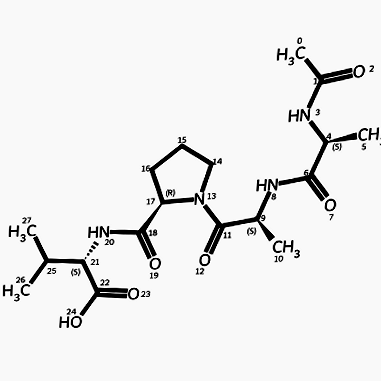 CC(=O)N[C@@H](C)C(=O)N[C@@H](C)C(=O)N1CCC[C@@H]1C(=O)N[C@H](C(=O)O)C(C)C